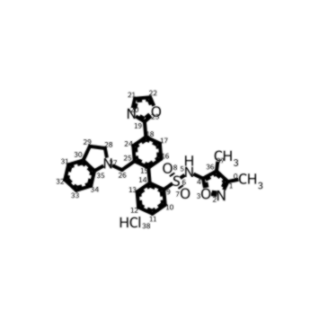 Cc1noc(NS(=O)(=O)c2ccccc2-c2ccc(-c3ncco3)cc2CN2CCc3ccccc32)c1C.Cl